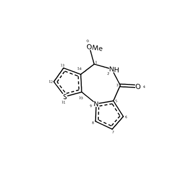 COC1NC(=O)c2cccn2-c2sccc21